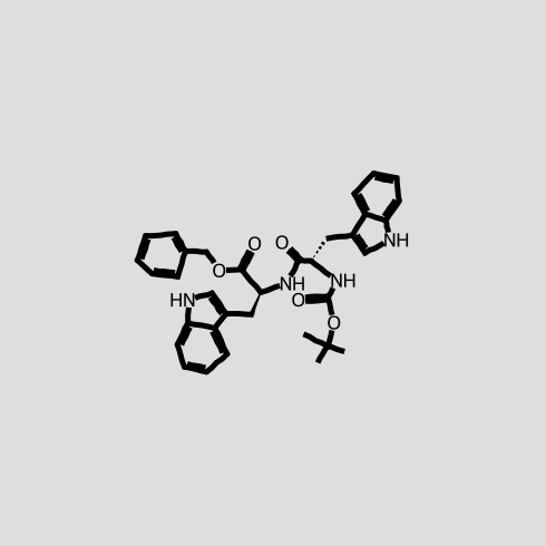 CC(C)(C)OC(=O)N[C@@H](Cc1c[nH]c2ccccc12)C(=O)N[C@@H](Cc1c[nH]c2ccccc12)C(=O)OCc1ccccc1